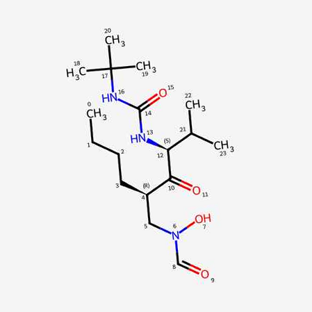 CCCC[C@H](CN(O)C=O)C(=O)[C@@H](NC(=O)NC(C)(C)C)C(C)C